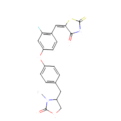 CCN1C(=O)OCC1Cc1ccc(Oc2ccc(C=C3SC(=S)NC3=O)c(F)c2)cc1